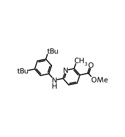 COC(=O)c1ccc(Nc2cc(C(C)(C)C)cc(C(C)(C)C)c2)nc1C